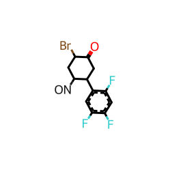 O=NC1CC(Br)C(=O)CC1c1cc(F)c(F)cc1F